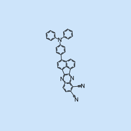 N#Cc1ccc2nc3c(nc2c1C#N)-c1cccc2c(-c4ccc(N(c5ccccc5)c5ccccc5)cc4)ccc-3c12